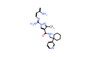 C=C(N)/C=C\N=C(/N)n1cc(C(=O)NCC2(c3cccnc3)CCCCC2)c(C(F)(F)F)n1